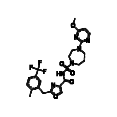 COc1ccnc(N2CCCN(S(=O)(=O)NC(=O)c3coc(Cc4cc(C(F)(F)F)ccc4C)n3)CC2)n1